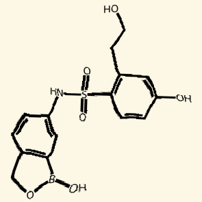 O=S(=O)(Nc1ccc2c(c1)B(O)OC2)c1ccc(O)cc1CCO